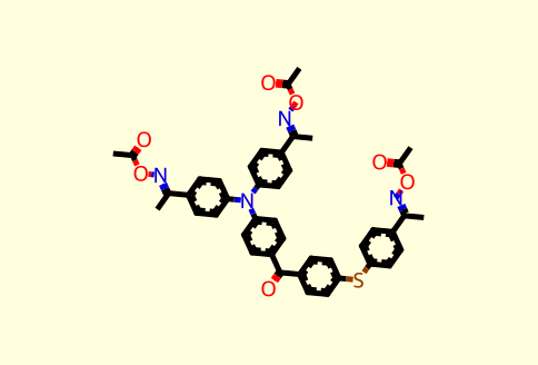 CC(=O)ON=C(C)c1ccc(Sc2ccc(C(=O)c3ccc(N(c4ccc(C(C)=NOC(C)=O)cc4)c4ccc(/C(C)=N/OC(C)=O)cc4)cc3)cc2)cc1